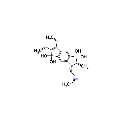 C=CC1=C(C=C)C(O)(O)c2cc3c(cc21)C(O)(O)C(=C)/C3=C\C=C/C